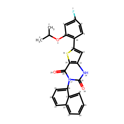 CC(C)Oc1cc(F)ccc1-c1cc2[nH]c(=O)n(-c3cccc4ccccc34)c(=O)c2s1